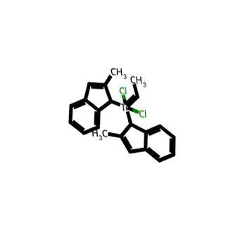 C[CH]=[Ti]([Cl])([Cl])([CH]1C(C)=Cc2ccccc21)[CH]1C(C)=Cc2ccccc21